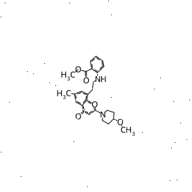 COC(=O)c1ccccc1NCCc1cc(C)cc2c(=O)cc(N3CCC(OC)CC3)oc12